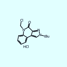 CC(C)(C)n1cc2c(n1)c(=O)n(CCl)c1ccccc21.Cl